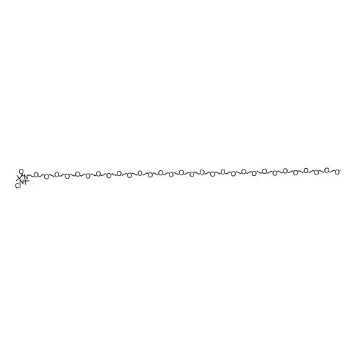 COCCOCCOCCOCCOCCOCCOCCOCCOCCOCCOCCOCCOCCOCCOCCOCCOCCOCCOCCOCCOCCOCCOCCOCCOCCOCCOCCOCCOCCOCCN1C(=O)C(C)(C)N(Cl)C1(C)C